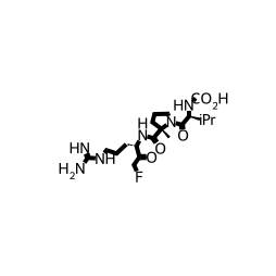 CC(C)[C@H](NC(=O)O)C(=O)N1CCC[C@@]1(C)C(=O)N[C@@H](CCCNC(=N)N)C(=O)CF